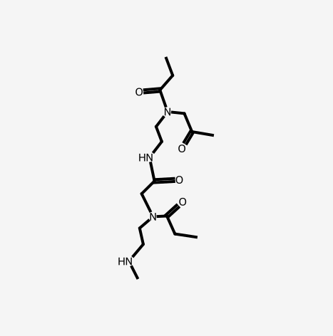 CCC(=O)N(CCNC(=O)CN(CCNC)C(=O)CC)CC(C)=O